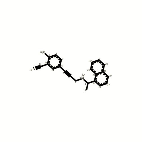 CC(NCC#Cc1ccc(F)c(C#N)c1)c1cccc2ccccc12